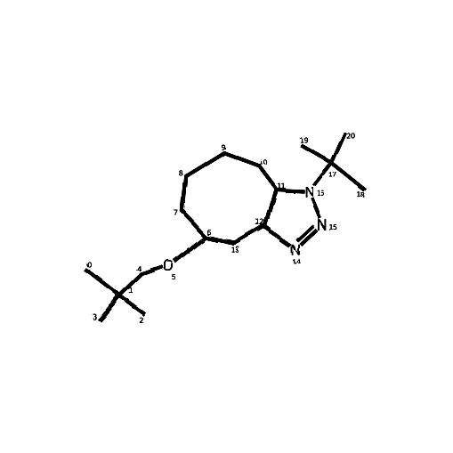 CC(C)(C)COC1CCCCC2C(C1)N=NN2C(C)(C)C